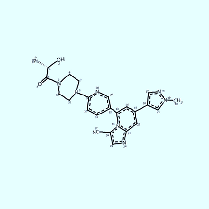 CC(C)[C@H](O)C(=O)N1CCN(c2ccc(-c3cc(-c4cnn(C)c4)cc4ncc(C#N)n34)cn2)CC1